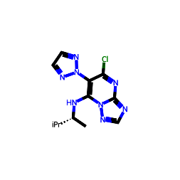 CC(C)[C@@H](C)Nc1c(-n2nccn2)c(Cl)nc2ncnn12